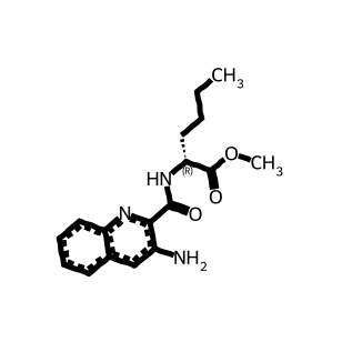 CCCC[C@@H](NC(=O)c1nc2ccccc2cc1N)C(=O)OC